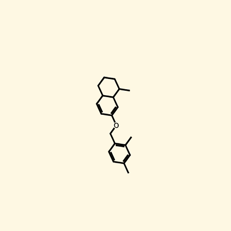 Cc1ccc(COC2=CC3C(C)CCCC3C=C2)c(C)c1